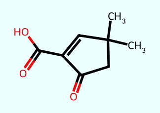 CC1(C)C=C(C(=O)O)C(=O)C1